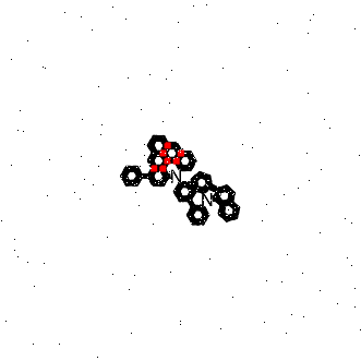 c1ccc(-c2cc(-c3ccccc3)ccc2N(c2ccc(-c3ccccc3-n3c4ccccc4c4ccc5ccccc5c43)cc2)c2ccccc2-c2cccc3ccccc23)cc#1